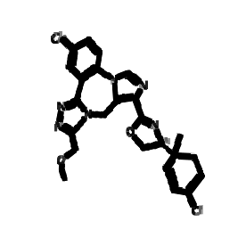 COCc1nnc2n1Cc1c(C3=N[C@@H](C4(C)C=CC(Cl)=CC4)CO3)ncn1-c1ccc(Cl)cc1-2